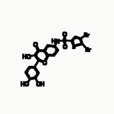 O=c1c(O)c(-c2ccc(O)c(O)c2)oc2ccc(NS(=O)(=O)c3cc(Br)c(Br)s3)cc12